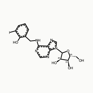 OC[C@H]1OC(n2cnc3c(NCc4cccc(I)c4O)ncnc32)[C@H](O)[C@@H]1O